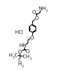 CC(C)(C)OC(=O)NCCOc1ccc(COC(=O)CN)cc1.Cl